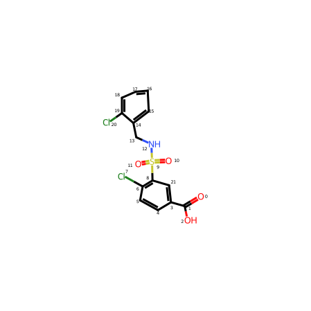 O=C(O)c1ccc(Cl)c(S(=O)(=O)NCc2ccccc2Cl)c1